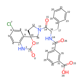 O=C1Nc2ccc(Cl)cc2[C@@]2(CCN(C(=O)[C@H](Cc3ccccc3)NC(=O)c3cccc(C(=O)O)c3)C2)O1